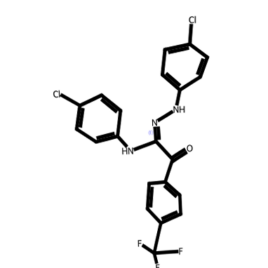 O=C(/C(=N\Nc1ccc(Cl)cc1)Nc1ccc(Cl)cc1)c1ccc(C(F)(F)F)cc1